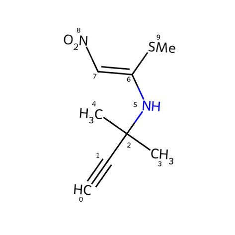 C#CC(C)(C)N/C(=C/[N+](=O)[O-])SC